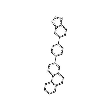 c1ccc2c(c1)ccc1cc(-c3ccc(-c4ccc5ncsc5c4)cc3)ccc12